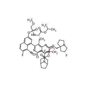 C#Cc1c(F)ccc2cc(OP(=O)(COC)N[C@@H](C)C(=O)OC(C)C)cc(-c3nc(Cl)c4c(N5CC6CCC(C5)N6C(=O)OC(C)(C)C)nc(OC[C@@]56CCCN5C[C@H](F)C6)nc4c3F)c12